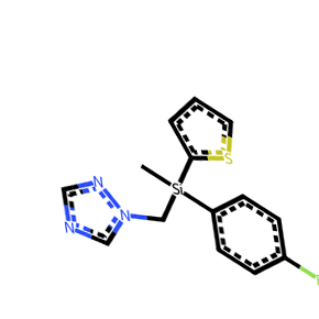 C[Si](Cn1cncn1)(c1ccc(F)cc1)c1cccs1